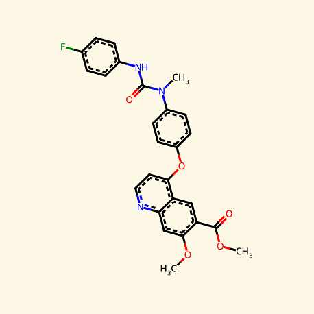 COC(=O)c1cc2c(Oc3ccc(N(C)C(=O)Nc4ccc(F)cc4)cc3)ccnc2cc1OC